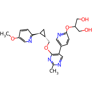 COc1ccc([C@H]2C[C@@H]2COc2nc(C)ncc2-c2ccc(OC(CO)CO)nc2)nc1